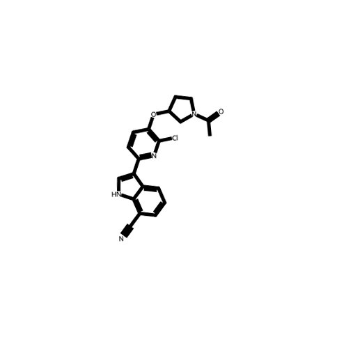 CC(=O)N1CCC(Oc2ccc(-c3c[nH]c4c(C#N)cccc34)nc2Cl)C1